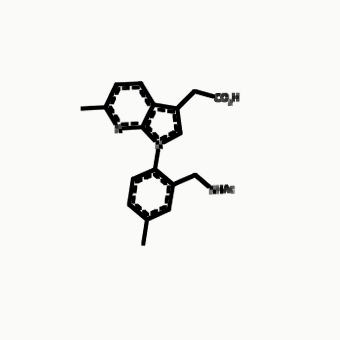 CC(=O)NCc1cc(C)ccc1-n1cc(CC(=O)O)c2ccc(C)nc21